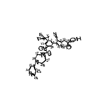 N#Cc1c(-c2cc(C(F)(F)F)cc(S(=O)(=O)N3CCN(c4ccncc4)CC3)c2)c[nH]c1CC(=O)O